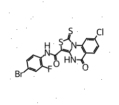 O=C(Nc1ccc(Br)cc1F)c1sc(=S)n2c1[nH]c(=O)c1ccc(Cl)cc12